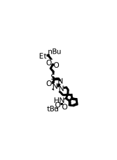 CCCCC(CC)COC(=O)CCSc1cnc(N2CCC3(CC2)Cc2ccccc2[C@H]3NC(=O)OC(C)(C)C)n(C)c1=O